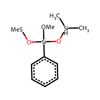 CO[Si](OSC)(O[SiH](C)C)c1ccccc1